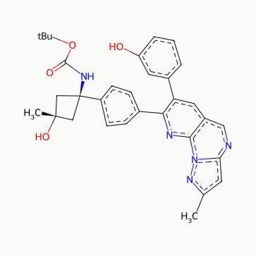 Cc1cc2ncc3cc(-c4cccc(O)c4)c(-c4ccc([C@]5(NC(=O)OC(C)(C)C)C[C@](C)(O)C5)cc4)nc3n2n1